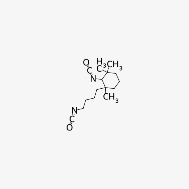 CC1(C)CCCC(C)(CCCCN=C=O)C1N=C=O